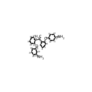 CC(c1ccccc1Oc1ccc(N)cc1)c1ccccc1Oc1cccc(N)c1